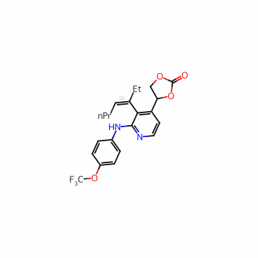 CCC/C=C(/CC)c1c(C2COC(=O)O2)ccnc1Nc1ccc(OC(F)(F)F)cc1